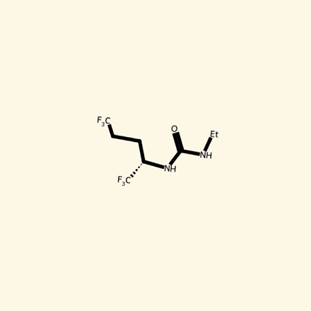 CCNC(=O)N[C@@H](CCC(F)(F)F)C(F)(F)F